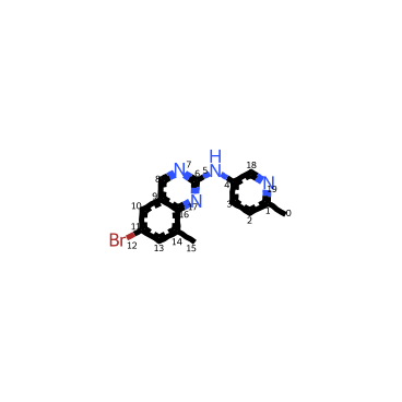 Cc1ccc(Nc2ncc3cc(Br)cc(C)c3n2)cn1